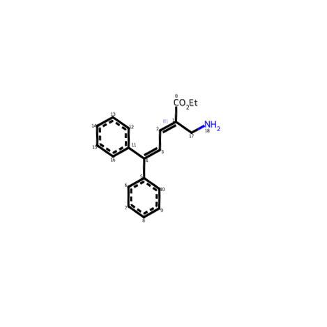 CCOC(=O)/C(=C/C=C(c1ccccc1)c1ccccc1)CN